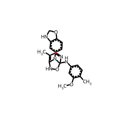 COc1cc(NC23N=CC(C)=C(NO2)N3c2ccc3c(c2)NCO3)ccc1C